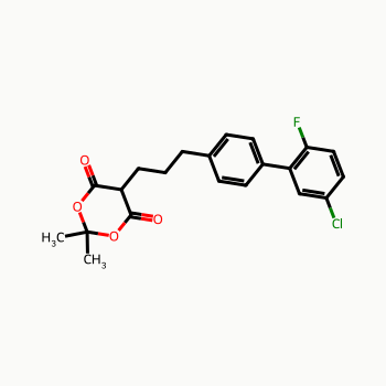 CC1(C)OC(=O)C(CCCc2ccc(-c3cc(Cl)ccc3F)cc2)C(=O)O1